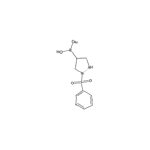 O=S(=O)(c1ccccc1)N1CC(B(O)O)CN1